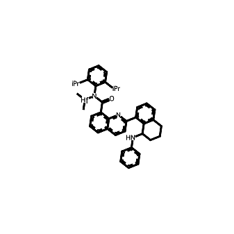 CC(C)c1cccc(C(C)C)c1[N](C(=O)c1cccc2ccc(-c3cccc4c3C(Nc3ccccc3)CCC4)nc12)[Hf]([CH3])[CH3]